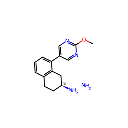 COc1ncc(-c2cccc3c2C[C@@H](N)CC3)cn1.N